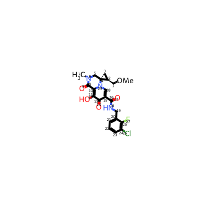 COC[C@@H]1C[C@]12CN(C)C(=O)c1c(O)c(=O)c(C(=O)NCc3cccc(Cl)c3F)cn12